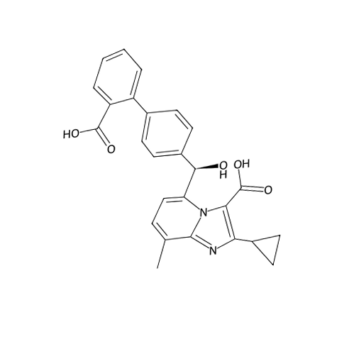 Cc1ccc([C@H](O)c2ccc(-c3ccccc3C(=O)O)cc2)n2c(C(=O)O)c(C3CC3)nc12